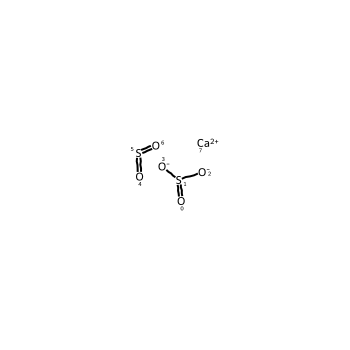 O=S([O-])[O-].O=S=O.[Ca+2]